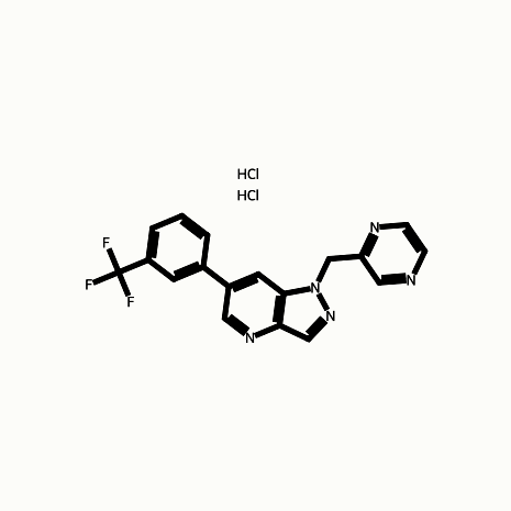 Cl.Cl.FC(F)(F)c1cccc(-c2cnc3cnn(Cc4cnccn4)c3c2)c1